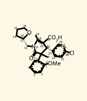 COc1ccccc1C1(C)C(=O)N(C[C@@H]2CCCO2)C(C)=C(C(=O)O)[C@@H]1c1ccc(Cl)nc1